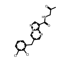 CC(=O)CNC(=O)c1cnn2cc(Cc3cccc(Cl)c3Cl)cnc12